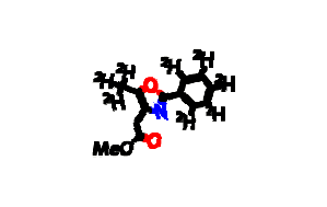 [2H]c1c([2H])c([2H])c(-c2nc(CC(=O)OC)c(C([2H])([2H])[2H])o2)c([2H])c1[2H]